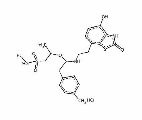 CCNS(=O)(=O)CC(C)OC(Cc1ccc(C)cc1)NCCc1ccc(O)c2[nH]c(=O)sc12.Cl